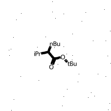 CCCCC(C(=O)OC(C)(C)C)C(C)C